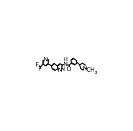 CN1CCC(c2cccc(C(=O)Nc3cc4cc(-c5cncc(C(F)F)c5)ccc4nn3)c2)CC1